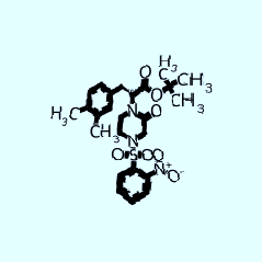 Cc1ccc(C[C@@H](C(=O)OC(C)(C)C)N2CCN(S(=O)(=O)c3ccccc3[N+](=O)[O-])CC2=O)cc1C